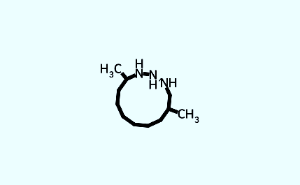 CC1CCCCCCC(C)NNNC1